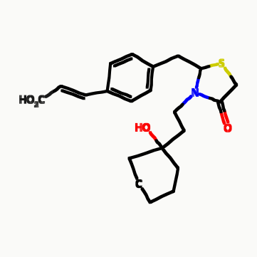 O=C(O)C=Cc1ccc(CC2SCC(=O)N2CCC2(O)CCCCC2)cc1